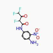 Nc1ccc(NC(=O)C(F)C(=O)C(F)F)cc1[N+](=O)[O-]